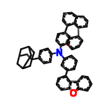 c1ccc(-c2cccc3cccc(-c4ccc(N(c5ccc(C67CC8CC(CC(C8)C6)C7)cc5)c5cccc(-c6cccc7oc8ccccc8c67)c5)cc4)c23)cc1